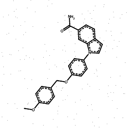 COc1ccc(COc2ccc(-n3ccc4ccc(C(N)=O)cc43)cc2)cc1